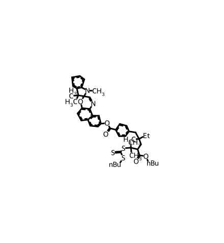 CCCCOC(=O)C(CC(C)(CC)Cc1ccc(C(=O)Oc2ccc3ccc4c(c3c2)N=CC2(O4)N(C)c3ccccc3C2(C)C)cc1)C(C)(C)SC(=S)SCCCC